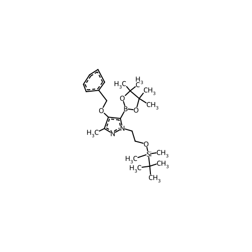 Cc1nn(CCO[Si](C)(C)C(C)(C)C)c(B2OC(C)(C)C(C)(C)O2)c1OCc1ccccc1